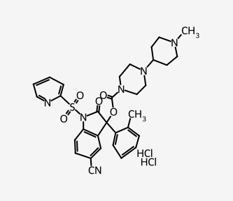 Cc1ccccc1C1(OC(=O)N2CCN(C3CCN(C)CC3)CC2)C(=O)N(S(=O)(=O)c2ccccn2)c2ccc(C#N)cc21.Cl.Cl